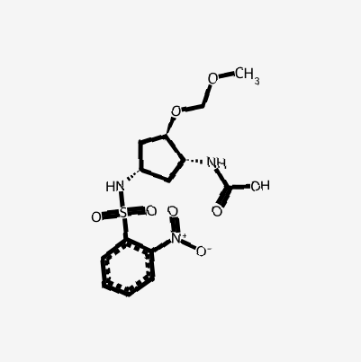 COCO[C@@H]1C[C@@H](NS(=O)(=O)c2ccccc2[N+](=O)[O-])C[C@H]1NC(=O)O